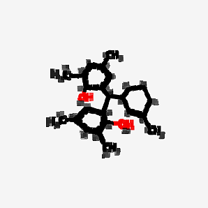 CC1=CC(C(c2cc(C)cc(C)c2O)c2cc(C)cc(C)c2O)CCC1